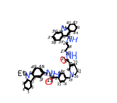 CCn1c2ccccc2c2cc(NC(=O)c3ccc(CN4CCC[C@H](C(=O)NCCCNc5c6c(nc7ccccc57)CCCC6)C4)cc3)ccc21